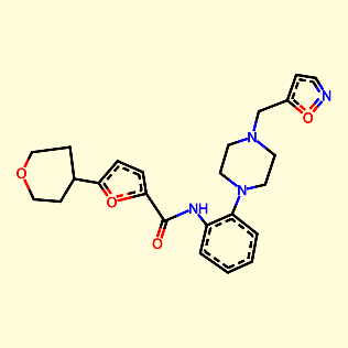 O=C(Nc1ccccc1N1CCN(Cc2ccno2)CC1)c1ccc(C2CCOCC2)o1